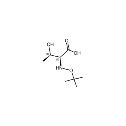 C[C@@H](O)[C@H](NOC(C)(C)C)C(=O)O